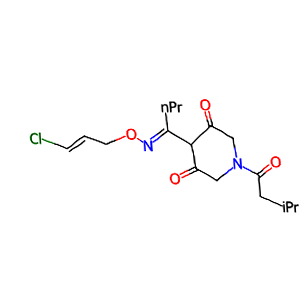 CCCC(=NOCC=CCl)C1C(=O)CN(C(=O)CC(C)C)CC1=O